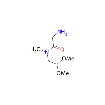 COC(CN(C)C(=O)CN)OC